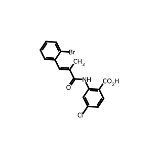 CC(=Cc1ccccc1Br)C(=O)Nc1cc(Cl)ccc1C(=O)O